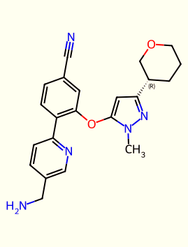 Cn1nc([C@H]2CCCOC2)cc1Oc1cc(C#N)ccc1-c1ccc(CN)cn1